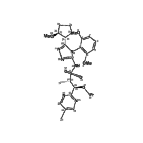 COc1cccc(OC)c1-n1c(NS(=O)(=O)[C@@H](C)[C@@H](OC(C)C)c2ncc(C)cn2)nnc1[C@H]1CCC[C@@H]1OC